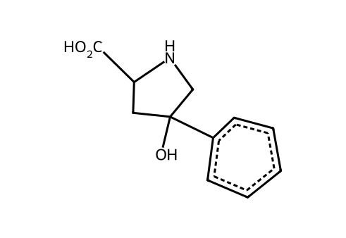 O=C(O)C1CC(O)(c2ccccc2)CN1